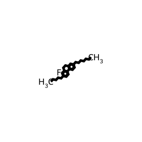 CCCCCCCc1ccc2c(c1)CCc1c-2ccc(CCCCC)c1F